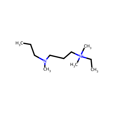 CCCN(C)CCC[N+](C)(C)CC